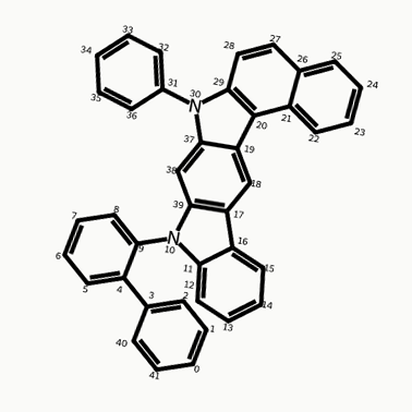 c1ccc(-c2ccccc2-n2c3ccccc3c3cc4c5c6ccccc6ccc5n(-c5ccccc5)c4cc32)cc1